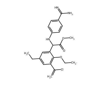 [CH2]COc1c(C(=C)Cl)cc(CC)cc1C(Nc1ccc(C(=N)N)cc1)C(=O)OC